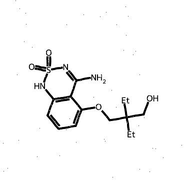 CCC(CC)(CO)COc1cccc2c1C(N)=NS(=O)(=O)N2